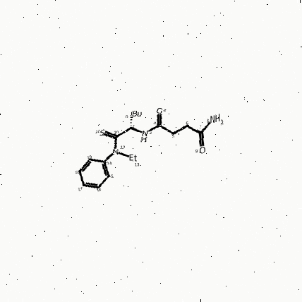 CCC(C)[C@H](NC(=O)CCC(N)=O)C(=S)N(CC)c1ccccc1